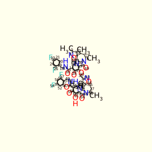 CC1=NO[C@]2(CC[C@H](C)N3C[C@H]2n2cc(C(=O)NCc4ccc(F)cc4F)c(=O)c(OCC4=NO[C@]5(CC[C@H](C)N6C[C@H]5n5cc(C(=O)NCc7ccc(F)cc7F)c(=O)c(O)c5C6=O)C4C)c2C3=O)C1C